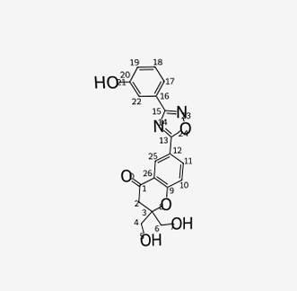 O=C1CC(CO)(CO)Oc2ccc(-c3nc(-c4cccc(O)c4)no3)cc21